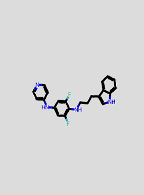 Fc1cc(Nc2ccncc2)cc(F)c1NCCCc1c[nH]c2ccccc12